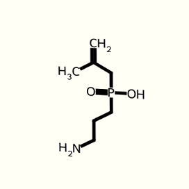 C=C(C)CP(=O)(O)CCCN